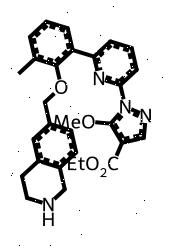 CCOC(=O)c1cnn(-c2cccc(-c3cccc(C)c3OCc3ccc4c(c3)CCNC4)n2)c1OC